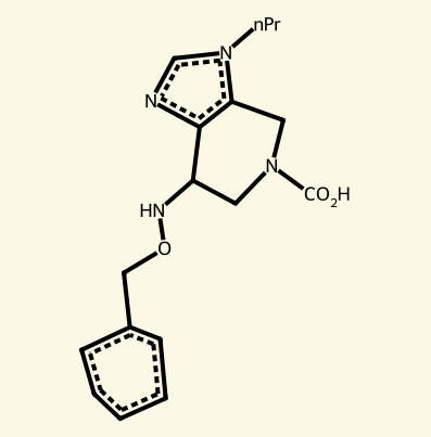 CCCn1cnc2c1CN(C(=O)O)CC2NOCc1ccccc1